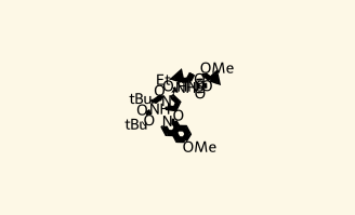 C=C(NS(=O)(=O)OC1(COC)CC1)[C@@]1(NC(=O)[C@@H]2C[C@@H](Oc3nccc4cc(OC)ccc34)CN2C(=O)[C@@H](NC(=O)OC(C)(C)C)C(C)(C)C)C[C@H]1CC